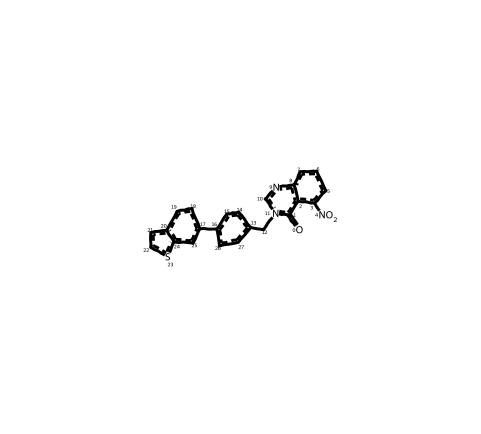 O=c1c2c([N+](=O)[O-])cccc2ncn1Cc1ccc(-c2ccc3ccsc3c2)cc1